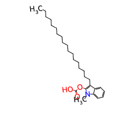 CCCCCCCCCCCCCCCCCCc1c(OC(=O)O)n(C)c2ccccc12